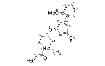 C=CC(=O)N1CC[C@H](Oc2cc(C#N)cc(-c3ccccc3OC)c2)C[C@@H]1C